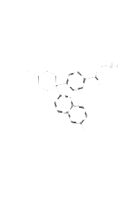 CCCCOC(=O)c1ccc(C2(c3ccc4cc(O)ccc4c3)CCC(C(F)(F)F)CC2)cc1